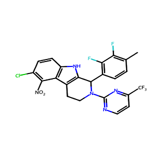 Cc1ccc(C2c3[nH]c4ccc(Cl)c([N+](=O)[O-])c4c3CCN2c2nccc(C(F)(F)F)n2)c(F)c1F